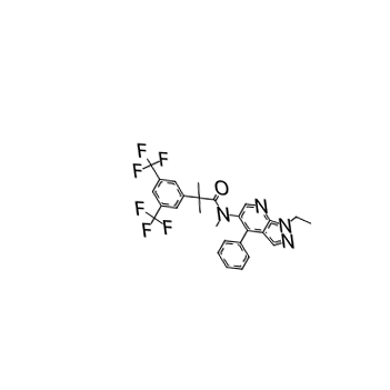 CCn1ncc2c(-c3ccccc3)c(N(C)C(=O)C(C)(C)c3cc(C(F)(F)F)cc(C(F)(F)F)c3)cnc21